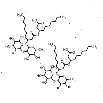 CCCCCCCC(CC(=O)O)OC(=O)CC(CCCCCCC)OC1OC(C)C(O)C(O)C1OC1OC(C)C(O)C(O)C1O.CCCCCCCC(CC(=O)O)OC(=O)CC(CCCCCCC)OC1OC(C)C(O)C(O)C1OC1OC(C)C(O)C(O)C1O